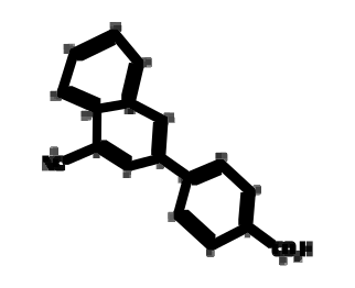 N#Cc1cc(-c2ccc(C(=O)O)cc2)cc2ccccc12